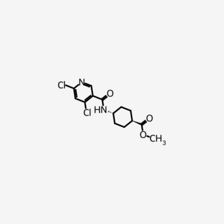 COC(=O)[C@H]1CC[C@H](NC(=O)c2cnc(Cl)cc2Cl)CC1